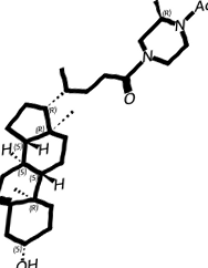 CC(=O)N1CCN(C(=O)CCC(C)[C@H]2CC[C@H]3[C@@H]4CC=C5C[C@@H](O)CC[C@]5(C)[C@H]4CC[C@]23C)C[C@H]1C